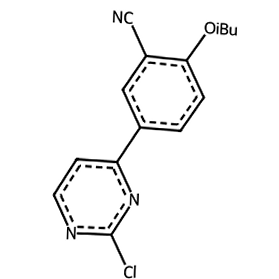 CC(C)COc1ccc(-c2ccnc(Cl)n2)cc1C#N